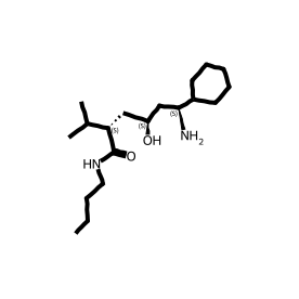 CCCCNC(=O)[C@@H](C[C@H](O)C[C@H](N)C1CCCCC1)C(C)C